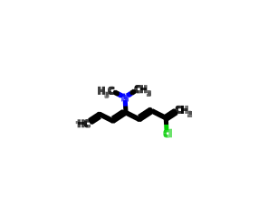 [CH]=CC=C(C=CC(=C)Cl)N(C)C